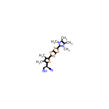 CC1=C(C)N(C)C(=C2SC3=C(S2)SC(=c2s/c(=C(\C#N)C=N)c(C)c2C)S3)N1C